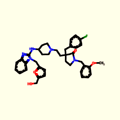 COc1ccccc1CN1CCC(CCN2CCC(Nc3nc4ccccc4n3Cc3ccc(CO)o3)CC2)(Cc2ccc(F)cc2)C1=O